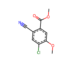 COC(=O)c1cc(OC)c(Cl)cc1C#N